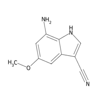 COc1cc(N)c2[nH]cc(C#N)c2c1